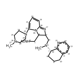 CC(=O)NCC1C(CN(C)[C@H]2CCCc3cccnc32)N=C2C=CC=C(N3CCN(C)CC3)N21